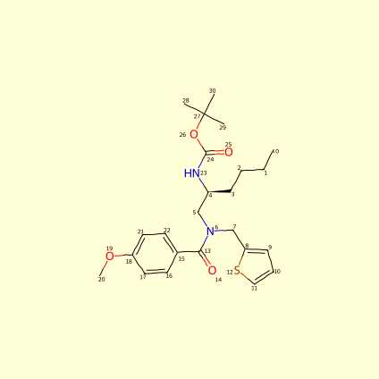 [CH2]CCC[C@@H](CN(Cc1cccs1)C(=O)c1ccc(OC)cc1)NC(=O)OC(C)(C)C